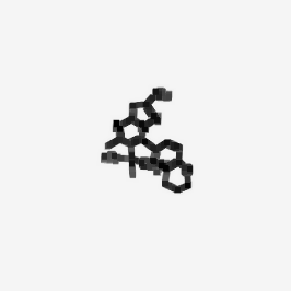 CCCC(C)(C(=O)O)c1c(C)nc2cc(C(C)(C)C)nn2c1-c1ccc2c(c1)CCCO2